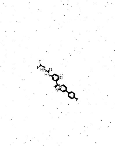 Cl.O=C(NCC(F)F)Nc1cccc(-c2cnc3cc(-c4ccc(F)cc4)ccn23)c1